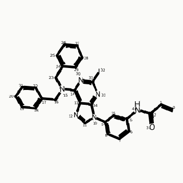 C=CC(=O)Nc1cccc(-n2cnc3c(N(Cc4ccccc4)Cc4ccccc4)nc(I)nc32)c1